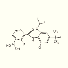 O=C(Nc1c(Cl)cc(C(F)(C(F)(F)F)C(F)(F)F)cc1OC(F)F)c1cccc(N(O)O)c1F